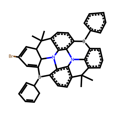 CC1(C)c2cccc3c2N2c4c1ccc1c4N4c5c(ccc(c52)B3c2ccccc2)C(C)(C)C2C=C(Br)C=C(B1C1C=CC=CC1)C24